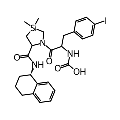 C[Si]1(C)CC(C(=O)N[C@@H]2CCCc3ccccc32)N(C(=O)C(Cc2ccc(I)cc2)NC(=O)O)C1